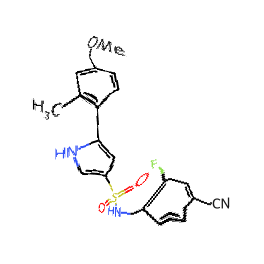 COc1ccc(-c2cc(S(=O)(=O)Nc3ccc(C#N)cc3F)c[nH]2)c(C)c1